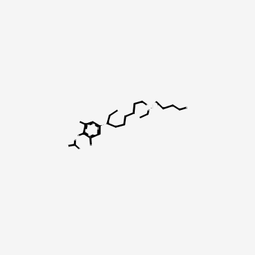 FCCCC[Si@H]1CC[C@H]([C@H]2CC[C@H](c3cc(F)c(OC(F)F)c(F)c3)CC2)CC1